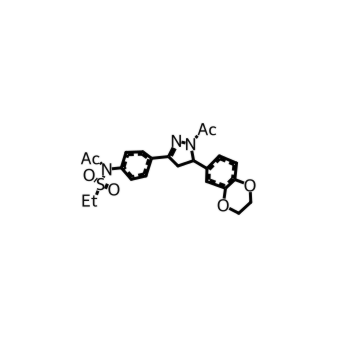 CCS(=O)(=O)N(C(C)=O)c1ccc(C2=NN(C(C)=O)C(c3ccc4c(c3)OCCO4)C2)cc1